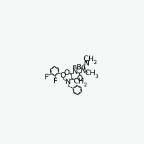 C=NCN(C)C(=O)N(CCCC)C(=O)C(=C)N(COc1cccc(F)c1F)Cc1ccccc1